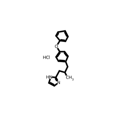 CC(Cc1ccc(Oc2ccccc2)cc1)Cc1ncc[nH]1.Cl